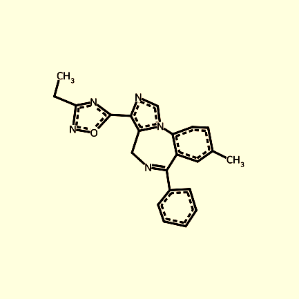 CCc1noc(-c2ncn3c2CN=C(c2ccccc2)c2cc(C)ccc2-3)n1